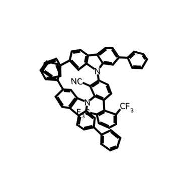 N#Cc1c(-n2c3cc(-c4ccccc4)ccc3c3ccc(-c4ccccc4)cc32)ccc(-c2c(C(F)(F)F)cccc2C(F)(F)F)c1-n1c2cc(-c3ccccc3)ccc2c2ccc(-c3ccccc3)cc21